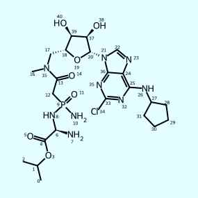 CC(C)OC(=O)[C@H](N)NP(N)(=O)CC(=O)N(C)C[C@H]1O[C@@H](n2cnc3c(NC4CCCC4)nc(Cl)nc32)[C@H](O)[C@@H]1O